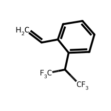 C=Cc1ccccc1C(C(F)(F)F)C(F)(F)F